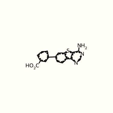 Nc1ncnc2c1sc1cc(-c3cccc(C(=O)O)c3)ccc12